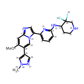 COc1cc2ncc(-c3cccc(NC4CCNCC4(F)F)n3)n2cc1-c1cnn(C)c1